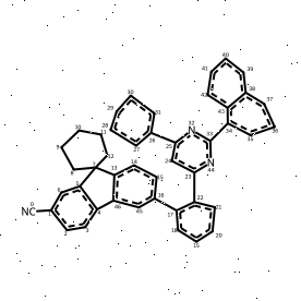 N#Cc1ccc2c(c1)C1(CCCCC1)c1ccc(-c3ccccc3-c3cc(-c4ccccc4)nc(-c4cccc5ccccc45)n3)cc1-2